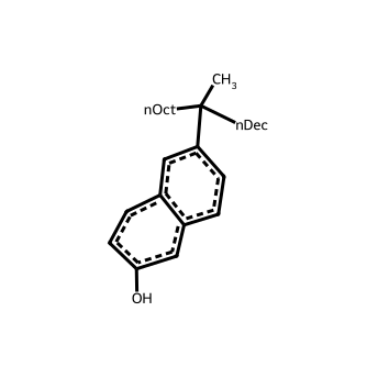 CCCCCCCCCCC(C)(CCCCCCCC)c1ccc2cc(O)ccc2c1